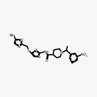 CC(c1cccc([N+](=O)[O-])c1)N1CCC(C(=O)Nc2ncc(SCc3ncc(C(C)(C)C)o3)s2)CC1